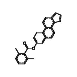 Cc1cccc(C)c1C(=O)OC1=CCc2c(ccc3c4c(ccc23)=CC=C4)=C1